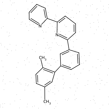 Cc1ccc(C)c(-c2cccc(-c3cccc(-c4ccccn4)n3)c2)c1